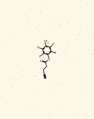 C#CCCC(=O)Oc1c(F)c(F)c(C(F)(F)F)c(F)c1F